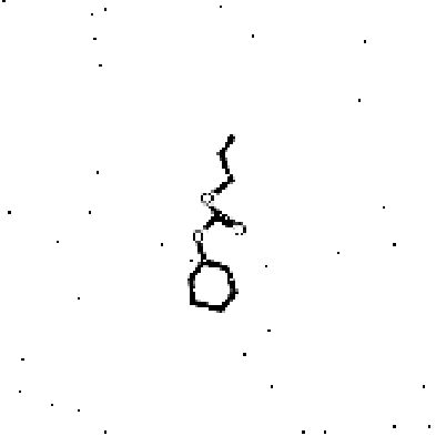 O=C(OCCI)OC1CCCCC1